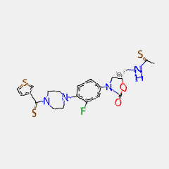 CC(=S)NC[C@H]1CN(c2ccc(N3CCN(C(=S)c4ccsc4)CC3)c(F)c2)C(=O)O1